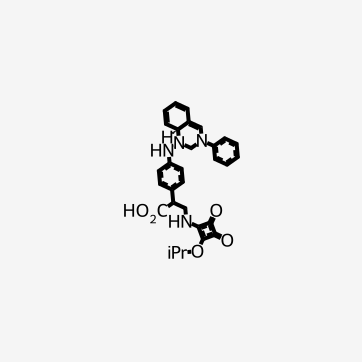 CC(C)Oc1c(NCC(C(=O)O)c2ccc(NN3CN(c4ccccc4)C=C4C=CC=C[C@@H]43)cc2)c(=O)c1=O